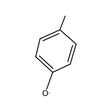 Cc1ccc([O])cc1